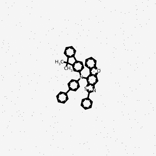 CC1(C)c2ccccc2-c2ccc(N(c3ccc(-c4ccccc4)cc3)c3c4sc(-c5ccccc5)nc4cc4oc5ccccc5c34)cc21